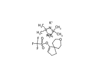 C[Si](C)(C)[N-][Si](C)(C)C.O=S(=O)(OC1=CCCC12CCOCC2)C(F)(F)F.[K+]